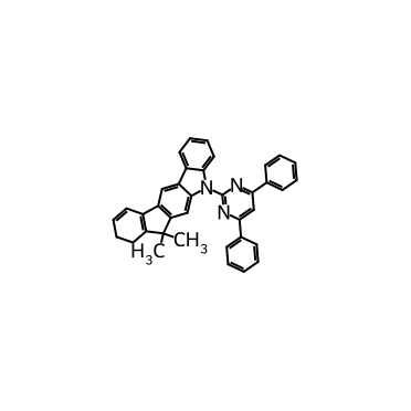 CC1(C)C2=C(C=CCC2)c2cc3c4ccccc4n(-c4nc(-c5ccccc5)cc(-c5ccccc5)n4)c3cc21